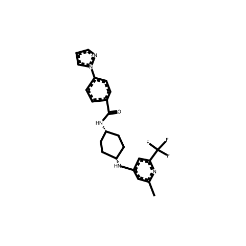 Cc1cc(N[C@H]2CC[C@@H](NC(=O)c3ccc(-n4cccn4)cc3)CC2)cc(C(F)(F)F)n1